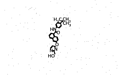 CC(C)(C)c1ccc(NC(=O)c2cccc3cc(Oc4ccnc(CO)n4)ccc23)cc1